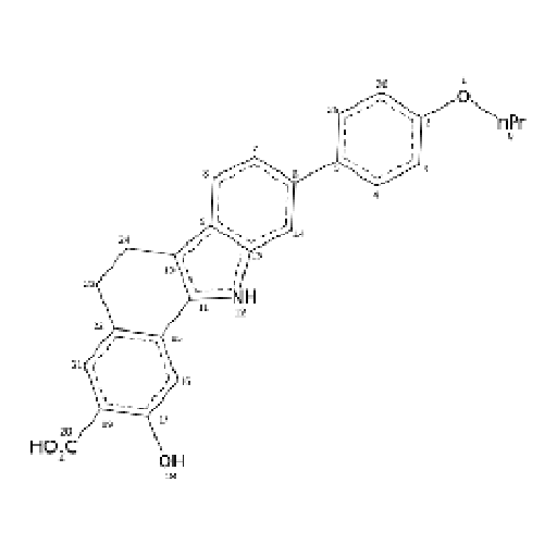 CCCOc1ccc(-c2ccc3c4c([nH]c3c2)-c2cc(O)c(C(=O)O)cc2CC4)cc1